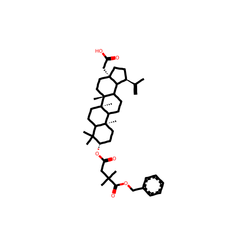 C=C(C)[C@@H]1CC[C@]2(CC(=O)O)CC[C@]3(C)C(CCC4[C@@]5(C)CC[C@H](OC(=O)CC(C)(C)C(=O)OCc6ccccc6)C(C)(C)C5CC[C@]43C)C12